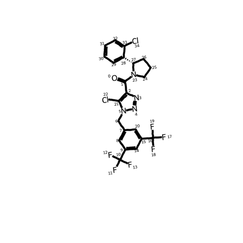 O=C(c1nnn(Cc2cc(C(F)(F)F)cc(C(F)(F)F)c2)c1Cl)N1CCC[C@H]1c1ccccc1Cl